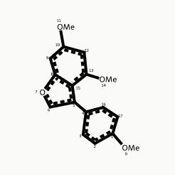 COc1ccc(-c2coc3cc(OC)cc(OC)c23)cc1